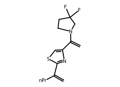 C=C(CCC)c1nc(C(=C)N2CCC(F)(F)C2)cs1